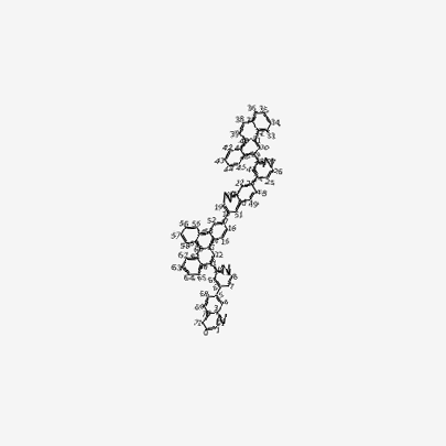 c1cnc2cc(-c3ccnc(-c4cc5c6ccc(-c7cnc8cc(-c9ccnc(-c%10cc%11c%12ccccc%12ccc%11c%11ccccc%10%11)c9)ccc8c7)cc6c6ccccc6c5c5ccccc45)c3)ccc2c1